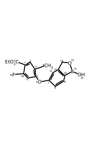 CCOC(=O)c1cc(C)c(Oc2ccc3c(c2)COB3O)cc1F